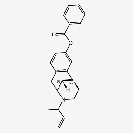 C=CC(C)N1CC[C@]23CCCC[C@H]2C1Cc1ccc(OC(=O)c2ccccc2)cc13